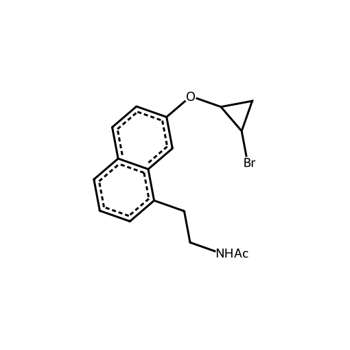 CC(=O)NCCc1cccc2ccc(OC3CC3Br)cc12